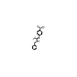 CSC(=Nc1ccc([N+](=O)[O-])cc1)N[C@@H](C)c1ccccc1